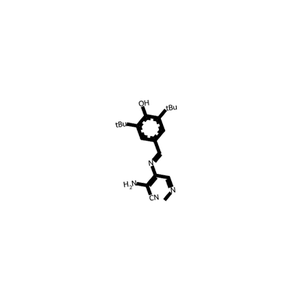 C\N=C/C(/N=C/c1cc(C(C)(C)C)c(O)c(C(C)(C)C)c1)=C(/N)C#N